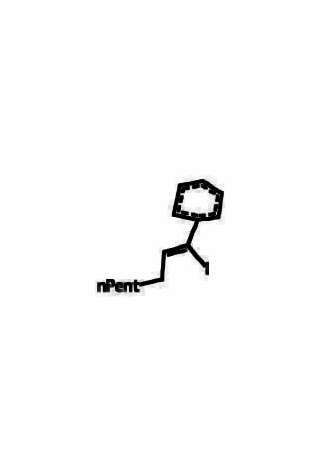 CCCCCCC=C(I)c1ccccc1